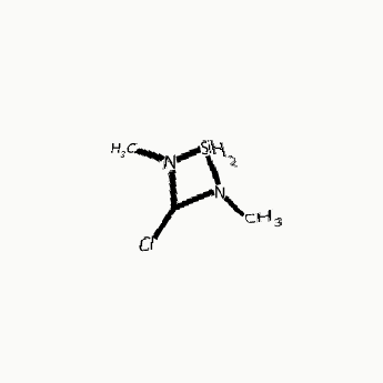 CN1[SiH2]N(C)C1Cl